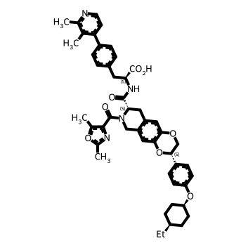 CC[C@H]1CC[C@@H](Oc2ccc([C@H]3COc4cc5c(cc4O3)CN(C(=O)c3nc(C)oc3C)[C@H](C(=O)N[C@@H](Cc3ccc(-c4ccnc(C)c4C)cc3)C(=O)O)C5)cc2)CC1